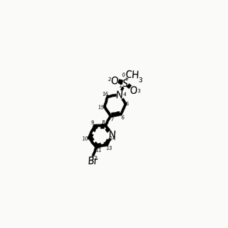 CS(=O)(=O)N1CC=C(c2ccc(Br)cn2)CC1